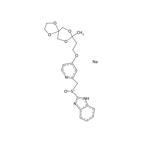 CC1(CCOc2ccnc(C[S+]([O-])c3nc4ccccc4[nH]3)c2)OCC2(CO1)OCCO2.[Na]